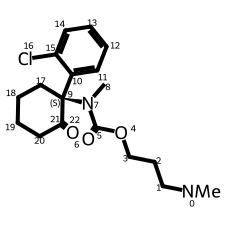 CNCCCOC(=O)N(C)[C@]1(c2ccccc2Cl)CCCCC1=O